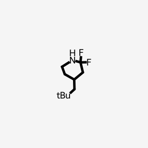 CC(C)(C)CC1CCNC(F)(F)C1